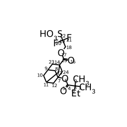 CCC(C)(C)C(=O)OC12CC3CC(C1)CC(C(=O)OCC(F)(F)S(=O)(=O)O)(C3)C2